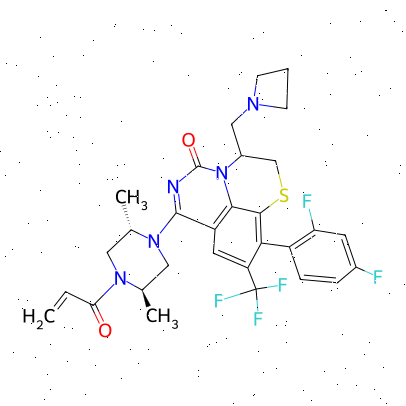 C=CC(=O)N1C[C@H](C)N(c2nc(=O)n3c4c(c(-c5ccc(F)cc5F)c(C(F)(F)F)cc24)SCC3CN2CCC2)C[C@H]1C